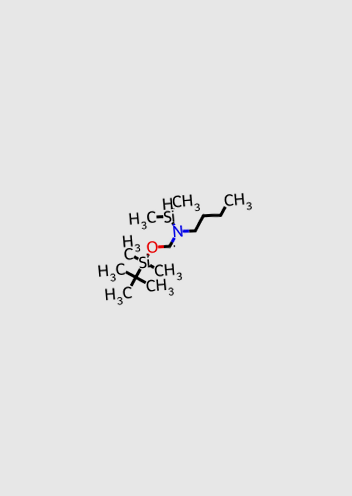 CCCCN([CH]O[Si](C)(C)C(C)(C)C)[SiH](C)C